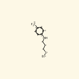 CCSCCCNc1ccc(C(F)(F)F)cc1